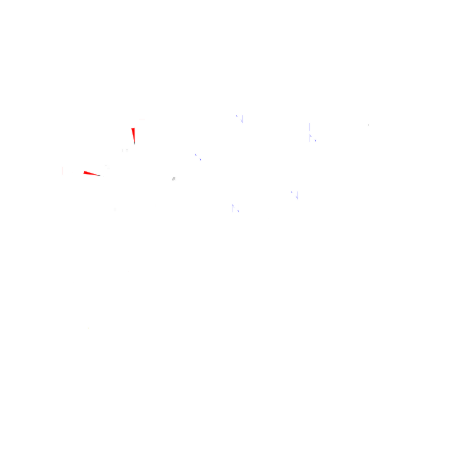 O[C@@H]1[C@H](O)[C@@H](COP(O)(O)=S)O[C@H]1n1cnc2c(NCC(F)(F)F)nc(CCC(F)(F)F)nc21